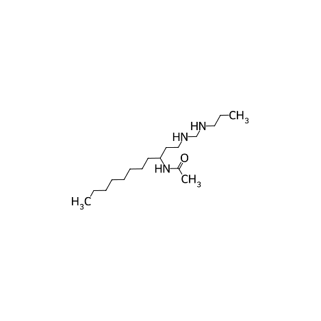 CCCCCCCCC(CCNCNCCC)NC(C)=O